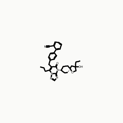 CCCc1c(Cc2ccc(-c3ccccc3C#N)cc2)c(=O)n([C@H]2CC[C@]3(CC2)CC(O)(CC)CO3)c2ncnn12